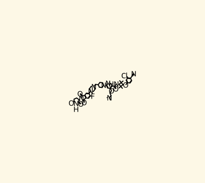 CN(C)CCOc1cc(N2CCC(CN3CCN(c4cc5c(cc4F)C(=O)N(C4CCC(=O)NC4=O)C5=O)CC3)CC2)ncc1C(=O)N[C@H]1C(C)(C)[C@H](Oc2ccc(C#N)c(Cl)c2)C1(C)C